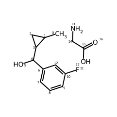 CC1CC1C(O)c1cccc(F)c1.NCC(=O)O